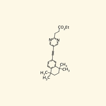 CCOC(=O)CCc1ncc(C#Cc2ccc3c(c2)C(C)(C)CCC3(C)C)cn1